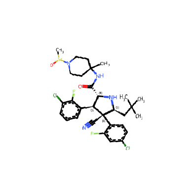 C[S+]([O-])N1CCC(C)(NC(=O)[C@@H]2N[C@@H](CC(C)(C)C)[C@](C#N)(c3ccc(Cl)cc3F)[C@H]2c2cccc(Cl)c2F)CC1